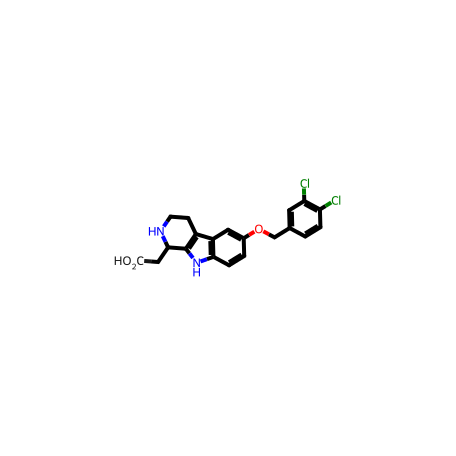 O=C(O)CC1NCCc2c1[nH]c1ccc(OCc3ccc(Cl)c(Cl)c3)cc21